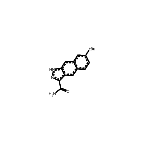 CC(C)(C)c1ccc2cc3c(C(N)=O)n[nH]c3cc2c1